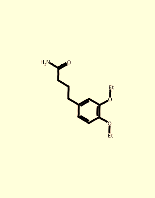 CCOc1ccc(CCCC(N)=O)cc1OCC